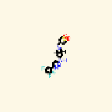 O=S1(=O)CCC(CN2C[C@H]3C[C@H](Nc4ccc(-c5cc(F)cc(F)c5F)nn4)C[C@H]3C2)CC1